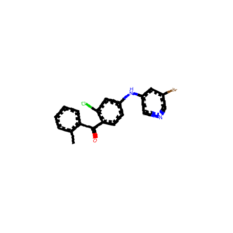 Cc1ccccc1C(=O)c1ccc(Nc2cncc(Br)c2)cc1Cl